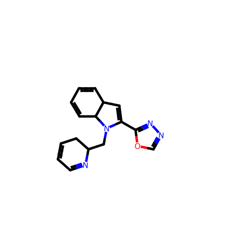 C1=CCC(CN2C(c3nnco3)=CC3C=CC=CC32)N=C1